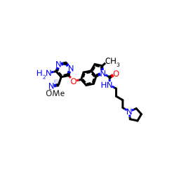 CO/N=C/c1c(N)ncnc1Oc1ccc2c(c1)cc(C)n2C(=O)NCCCCN1CCCC1